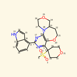 CS(=O)(=O)C1(c2nc(-c3cccc4[nH]ccc34)nc3c2OCCC2COCCN32)CCOCC1